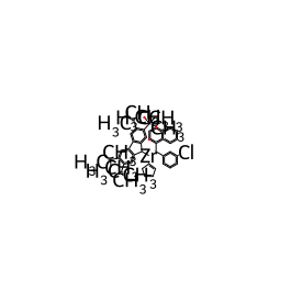 CC(C)(C)c1cc2c(cc1C(C)(C)C)[CH]([Zr]([C]1=CC=CC1)=[C](c1cccc(Cl)c1)c1cccc3ccccc13)c1cc(C(C)(C)C)c(C(C)(C)C)cc1-2